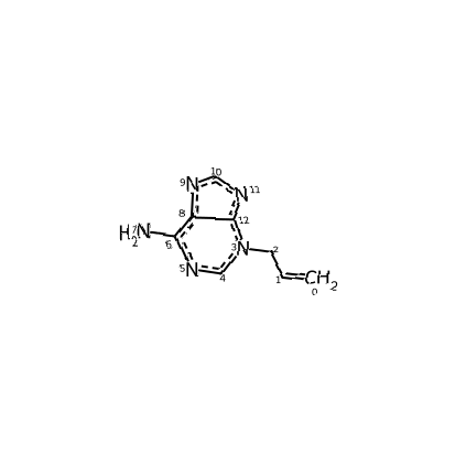 C=CCn1cnc(N)c2ncnc1-2